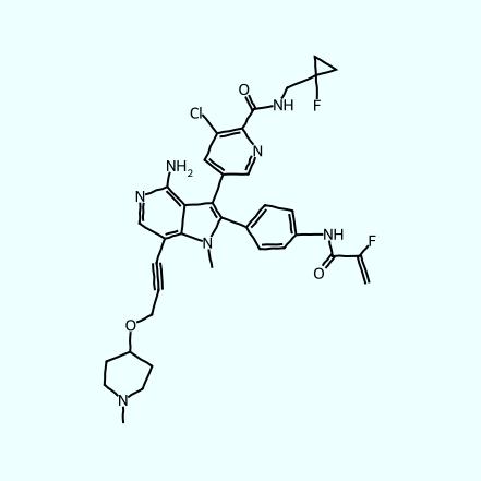 C=C(F)C(=O)Nc1ccc(-c2c(-c3cnc(C(=O)NCC4(F)CC4)c(Cl)c3)c3c(N)ncc(C#CCOC4CCN(C)CC4)c3n2C)cc1